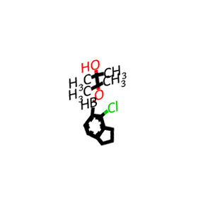 CC(C)(O)C(C)(C)OBc1ccc2c(c1Cl)CCC2